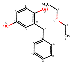 CCOCC.Oc1ccc(O)c(Cc2ccccc2)c1